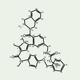 Cc1c(C(=O)N(C)c2ccc(OCc3ccccc3)cc2)cc(-c2cc(CNC(=O)OC(C)(C)C)ccc2C(=O)N2Cc3ccccc3C[C@H]2C)n1C